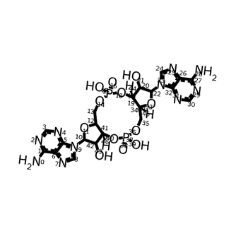 Nc1ncnc2c1ncn2C1OC2COP(=O)(O)O[C@@H]3C(O)C(n4cnc5c(N)ncnc54)O[C@@H]3COP(=O)(O)O[C@@H]2C1O